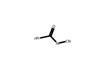 CCCC(=O)[N]C#N